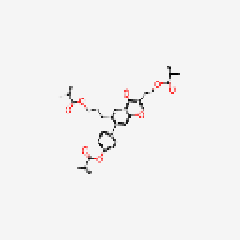 C=C(C)C(=O)OCCCc1cc2c(=O)c(CCOC(=O)C(=C)C)coc2cc1-c1ccc(OC(=O)C(=C)C)cc1